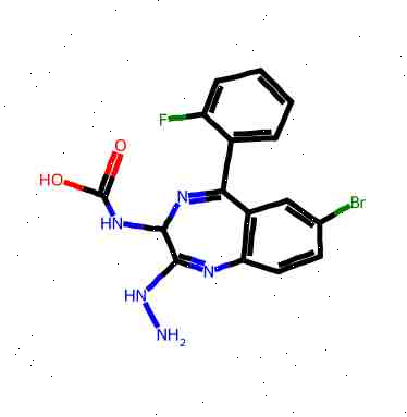 NNC1=Nc2ccc(Br)cc2C(c2ccccc2F)=NC1NC(=O)O